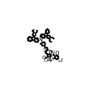 CCCCC1(CCCC)c2ccccc2-c2ccc(N(c3ccc(-c4ccc(/C=c5/c(C(=O)O)nn6c(-c7c(Cl)cc(Cl)cc7Cl)nnc56)s4)cc3)c3ccc4c(c3)C(CCCC)(CCCC)c3ccccc3-4)cc21